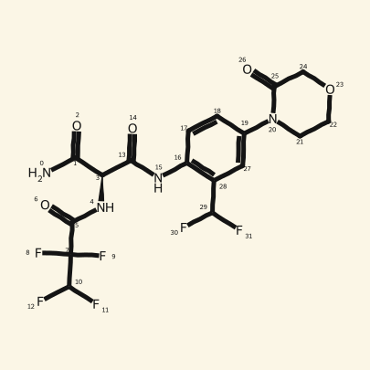 NC(=O)[C@H](NC(=O)C(F)(F)C(F)F)C(=O)Nc1ccc(N2CCOCC2=O)cc1C(F)F